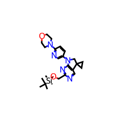 CC(C)(C)[Si](C)(C)OCc1ncc2c(n1)N(c1ccc(N3CCOCC3)nc1)CC21CC1